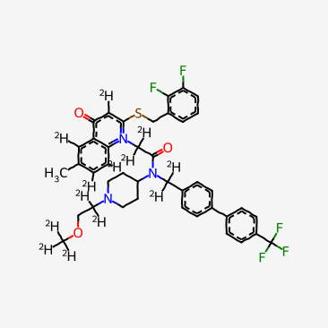 [2H]c1c(C)c([2H])c2c(=O)c([2H])c(SCc3cccc(F)c3F)n(C([2H])([2H])C(=O)N(C3CCN(C([2H])([2H])COC([2H])([2H])[2H])CC3)C([2H])([2H])c3ccc(-c4ccc(C(F)(F)F)cc4)cc3)c2c1[2H]